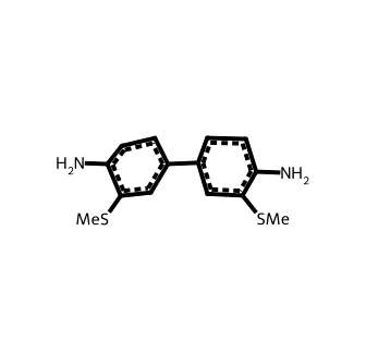 CSc1cc(-c2ccc(N)c(SC)c2)ccc1N